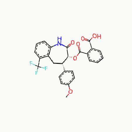 COc1ccc([C@@H]2Cc3c(cccc3C(F)(F)F)NC(=O)[C@@H]2OC(=O)c2ccccc2C(=O)O)cc1